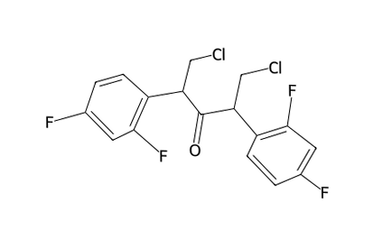 O=C(C(CCl)c1ccc(F)cc1F)C(CCl)c1ccc(F)cc1F